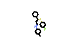 Cc1ccc(N=CC=C(Sc2ccc(F)cc2)C2CCCCC2)cc1